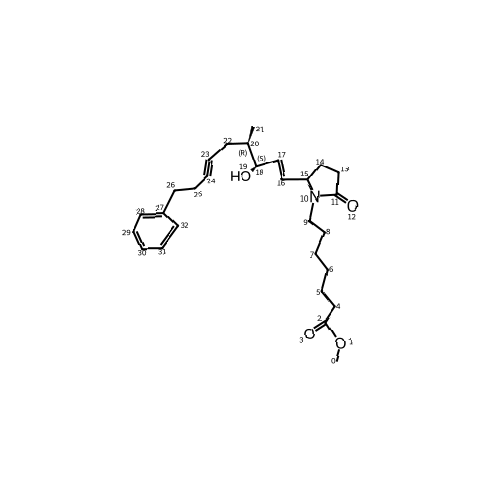 COC(=O)CCCCCCN1C(=O)CCC1C=C[C@@H](O)[C@H](C)CC#CCCc1ccccc1